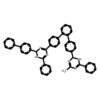 CC1=NC(c2ccc(-c3ccccc3-c3ccc(C4=NC(c5ccc(-c6ccccc6)cc5)NC(c5ccccc5)=N4)cc3)cc2)NC(c2ccccc2)=N1